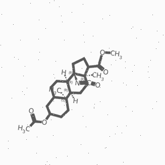 COC(=O)C1CC[C@@]2(N=C=O)[C@@H]3CCC4CC(OC(C)=O)CC[C@]4(C)[C@@H]3CC[C@]12C